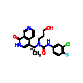 C[C@H](c1c[nH]c(=O)c2cnccc12)N(CCCO)C(=O)Nc1ccc(F)c(Cl)c1